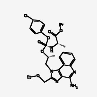 CCOCc1nc2c(N)nc3ccccc3c2n1C[C@@H](C)O[P@](=O)(N[C@@H](C)C(=O)OC(C)C)Oc1ccc(Cl)cc1